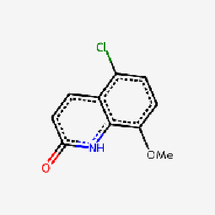 COc1ccc(Cl)c2ccc(=O)[nH]c12